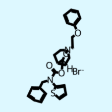 O=C(O[C@H]1C[N+]2(CCOc3ccccc3)CCC1CC2)N(Cc1ccccc1)c1cccs1.[Br-]